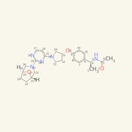 CC(=O)N[C@@H](C)c1ccc(O[C@@H]2CCN(c3ccnc(N4C[C@@H]5CC[C@@H](C4)O5)n3)C2)cc1